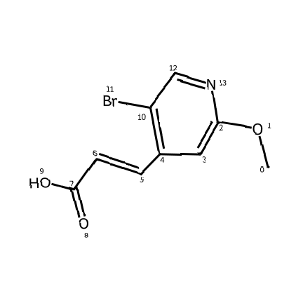 COc1cc(C=CC(=O)O)c(Br)cn1